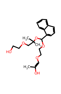 C/C(O)=C\OCCOC(OC(C)(C)COCCO)c1cccc2ccccc12